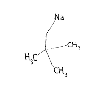 CC(C)(C)[CH2][Na]